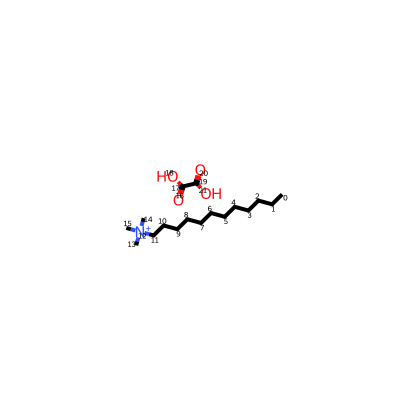 CCCCCCCCCCCC[N+](C)(C)C.O=C(O)C(=O)O